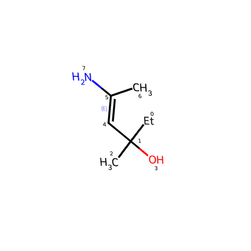 CCC(C)(O)/C=C(\C)N